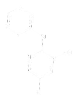 Oc1cc(Cl)cnc1Nc1ccccc1